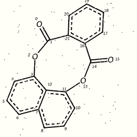 O=C1Oc2cccc3cccc(c23)OC(=O)c2ccccc21